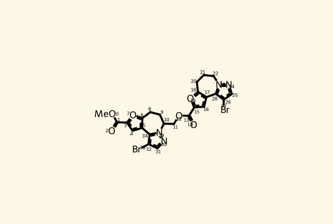 COC(=O)c1cc2c(o1)CCC(COC(=O)c1cc3c(o1)CCCn1ncc(Br)c1-3)n1ncc(Br)c1-2